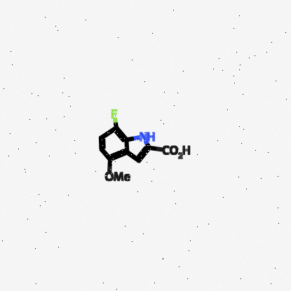 COc1ccc(F)c2[nH]c(C(=O)O)cc12